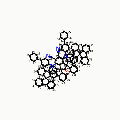 N#Cc1c(C#N)c(N(c2ccc(-c3ccccc3)cc2)c2cccc3c2-c2ccccc2C32c3ccccc3-c3ccccc32)c2c(c1N(c1ccc(-c3ccccc3)cc1)c1cccc3c1-c1ccccc1C31c3ccccc3-c3ccccc31)C1(C(=O)C23c2ccccc2C2C=CC=CC23)c2ccccc2-c2ccccc21